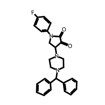 O=C1C(=O)N(c2ccc(F)cc2)CC1N1CCN(C(c2ccccc2)c2ccccc2)CC1